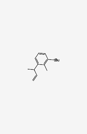 C=C[C](C)c1cccc(C(C)(C)C)c1C